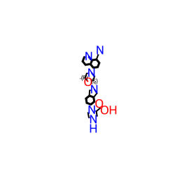 C[C@@H]1CN(c2ccc(C#N)c3ncccc23)C[C@H](CN2Cc3ccc(N4CCNCC4C(=O)O)cc3C2)O1